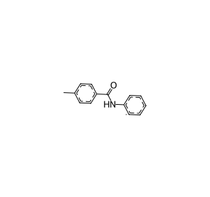 Cc1ccc(C(=O)Nc2[c]cccc2)cc1